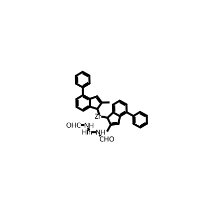 CC1=Cc2c(-c3ccccc3)cccc2[CH]1[Zr][CH]1C(C)=Cc2c(-c3ccccc3)cccc21.O=C[NH][InH][NH]C=O